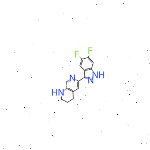 Fc1cc2[nH]nc(-c3cc4c(cn3)NCCC4)c2cc1F